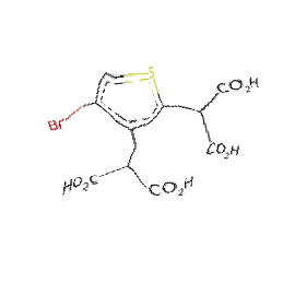 O=C(O)C(C(=O)O)c1scc(Br)c1C(C(=O)O)C(=O)O